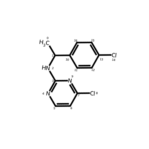 CC(Nc1nccc(Cl)n1)c1ccc(Cl)cc1